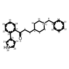 O=C(CCC1CCN(Cc2ccccc2)CC1)c1ccccc1-c1cc[nH]c1